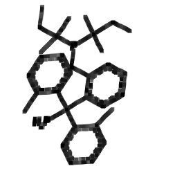 CCC(C)(C)P(Cc1ccccc1C(P)(c1ccccc1C)c1ccccc1C)C(C)(C)CC